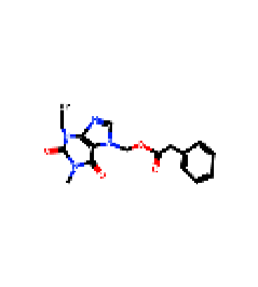 CC(C)Cn1c(=O)n(C)c(=O)c2c1ncn2COC(=O)Cc1ccccc1